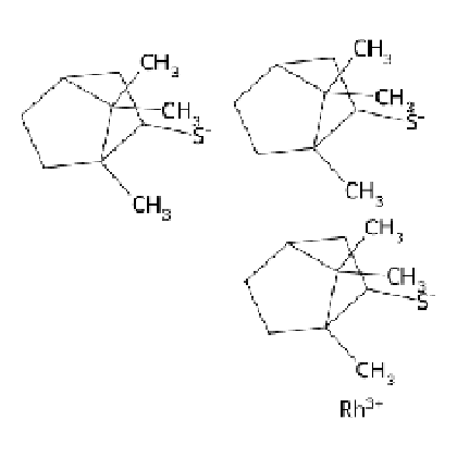 CC1(C)C2CCC1(C)C([S-])C2.CC1(C)C2CCC1(C)C([S-])C2.CC1(C)C2CCC1(C)C([S-])C2.[Rh+3]